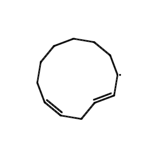 [CH]1/C=C/C/C=C\CCCCCC1